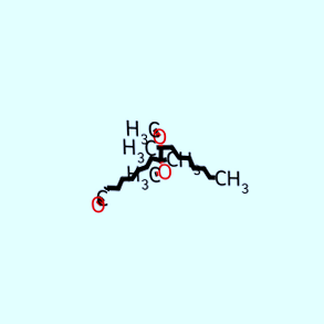 CCCCCCCC(C)(OC)C(C)(CCCCCCC=C=O)OC